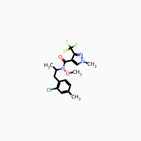 CON(C(=O)c1cn(C)nc1C(F)(F)F)C(C)Cc1ccc(C)cc1Cl